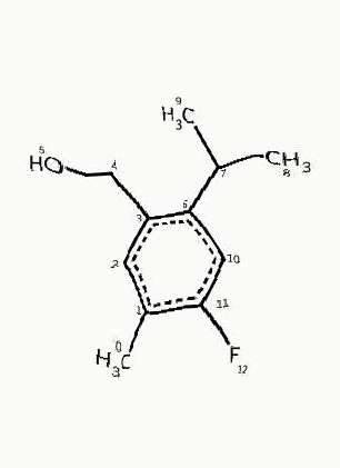 Cc1cc(CO)c(C(C)C)cc1F